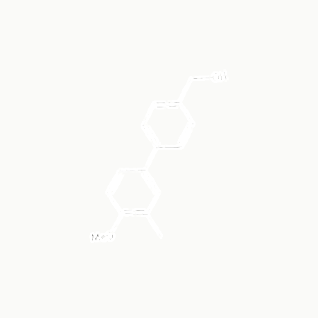 COc1ccc(-c2ccc(CO)cc2)cc1C